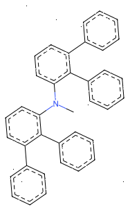 CN(c1cccc(-c2ccccc2)c1-c1ccccc1)c1cccc(-c2ccccc2)c1-c1ccccc1